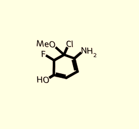 COC1(Cl)C(N)=CC=C(O)C1F